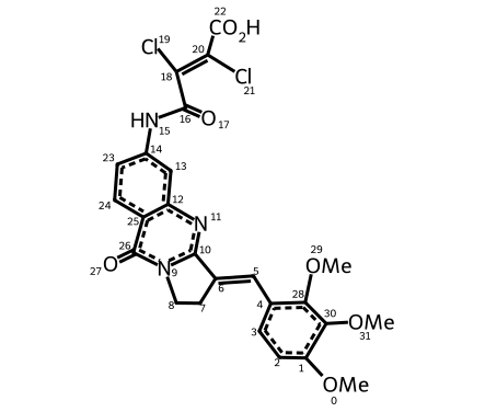 COc1ccc(C=C2CCn3c2nc2cc(NC(=O)C(Cl)=C(Cl)C(=O)O)ccc2c3=O)c(OC)c1OC